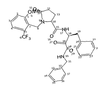 COc1cccc(C(F)(F)F)c1CN1C(=O)CCC1C(=O)N[C@@H](Cc1ccccc1)C(=O)C(=O)NCc1ccccc1